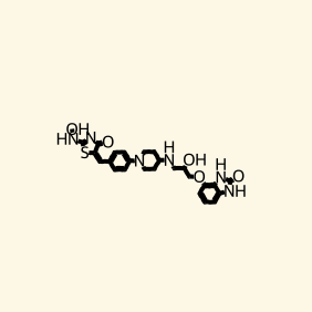 O=C1N=C(NO)SC1=Cc1ccc(N2CCC(NCC(O)COc3cccc4[nH]c(=O)[nH]c34)CC2)cc1